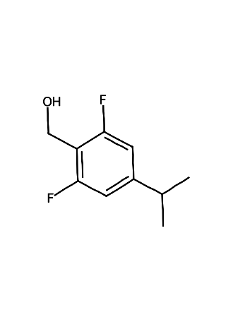 CC(C)c1cc(F)c(CO)c(F)c1